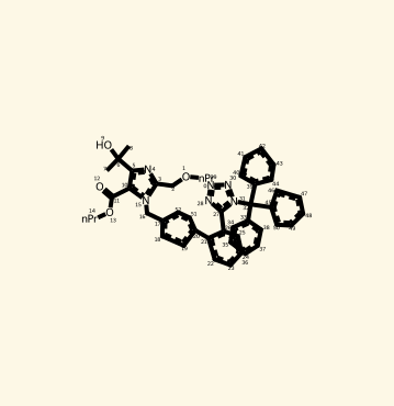 CCCOCc1nc(C(C)(C)O)c(C(=O)OCCC)n1Cc1ccc(-c2ccccc2-c2nnnn2C(c2ccccc2)(c2ccccc2)c2ccccc2)cc1